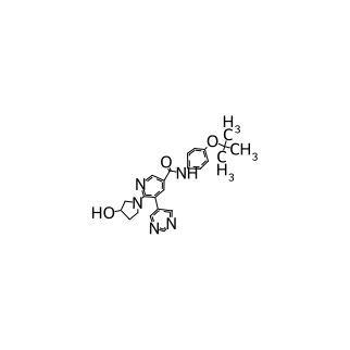 CC(C)(C)Oc1ccc(NC(=O)c2cnc(N3CCC(O)C3)c(-c3cncnc3)c2)cc1